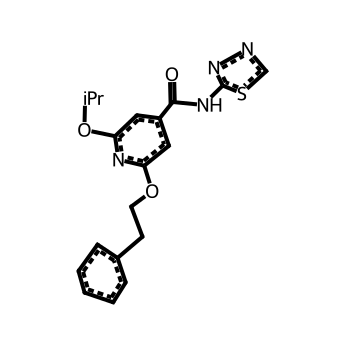 CC(C)Oc1cc(C(=O)Nc2nncs2)cc(OCCc2ccccc2)n1